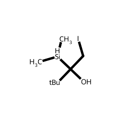 C[SiH](C)C(O)(CI)C(C)(C)C